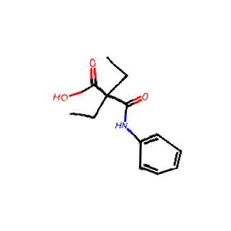 CCC(CC)(C(=O)O)C(=O)Nc1ccccc1